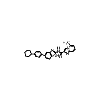 Cc1cccc2nc(C(=O)Nc3nc4cc(-c5ccc(C6CCCCC6)cc5)ccc4[nH]3)cn12